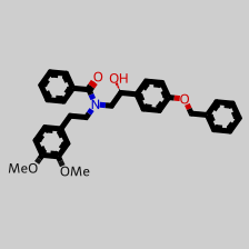 COc1ccc(CCN(C[C@H](O)c2ccc(OCc3ccccc3)cc2)C(=O)c2ccccc2)cc1OC